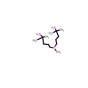 CP(CCCC(C)(C)P)CCCC(C)(C)P